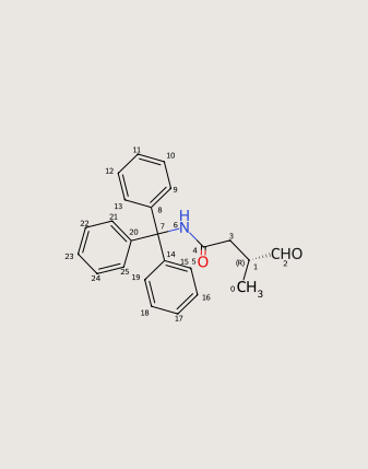 C[C@@H](C=O)CC(=O)NC(c1ccccc1)(c1ccccc1)c1ccccc1